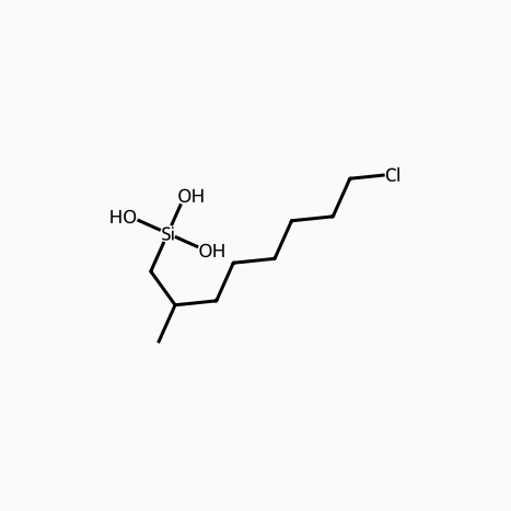 CC(CCCCCCCl)C[Si](O)(O)O